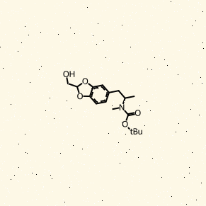 CC(Cc1ccc2c(c1)OC(CO)O2)N(C)C(=O)OC(C)(C)C